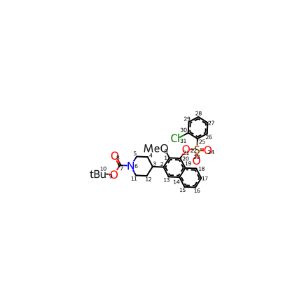 COc1c(C2CCN(C(=O)OC(C)(C)C)CC2)cc2ccccc2c1OS(=O)(=O)c1ccccc1Cl